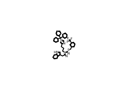 FC(F)(F)c1cccc(CSc2nnc(Cc3c[nH]c4ccccc34)n2CCCc2cn(C(c3ccccc3)(c3ccccc3)c3ccccc3)cn2)c1